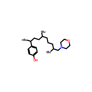 CCCCC(CCC(CCCC(CN1CCOCC1)C(C)(C)C)C(C)(C)C)c1ccc(O)cc1